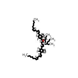 CCCCCCc1ccc(-c2ccc(-c3c(F)c(F)c(-c4cc5c(s4)-c4sc(-c6c(F)c(F)c(-c7ccc(-c8ccc(CCCCCC)s8)s7)c7nsnc67)cc4S5(CC(CC)CCCC)CC(CC)CCCC)c4nsnc34)s2)s1